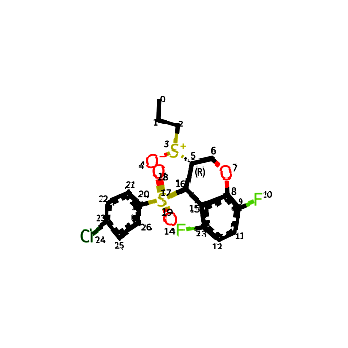 CCC[S+]([O-])[C@@H]1COc2c(F)ccc(F)c2C1S(=O)(=O)c1ccc(Cl)cc1